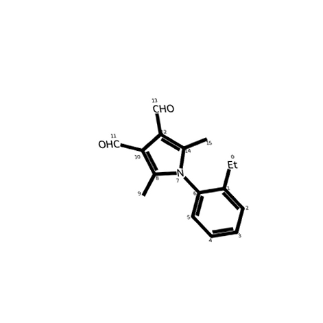 CCc1ccccc1-n1c(C)c(C=O)c(C=O)c1C